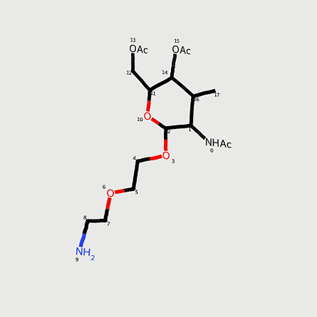 CC(=O)NC1C(OCCOCCN)OC(COC(C)=O)C(OC(C)=O)C1C